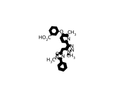 Cc1nc(-c2nnn(C)c2CC2=NC(c3ccccc3)N(C)O2)ccc1O[C@H]1CCC[C@H](C(=O)O)C1